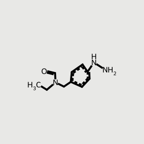 CCN(C=O)Cc1ccc(NN)cc1